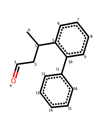 CC(CC=O)c1ccccc1-c1ccccc1